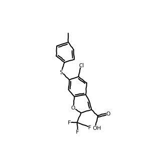 Cc1ccc(Sc2cc3c(cc2Cl)C=C(C(=O)O)C(C(F)(F)F)O3)cc1